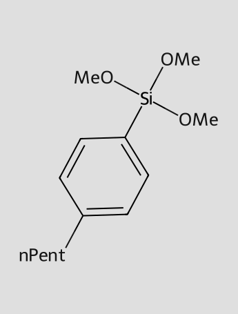 CCCCCc1ccc([Si](OC)(OC)OC)cc1